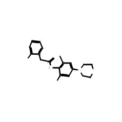 Cc1cc(N2CCOCC2)cc(C)c1NC(=O)Cc1ccccc1Cl